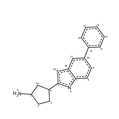 NC1CCC(c2nc3ccc(-c4ccccc4)cc3s2)C1